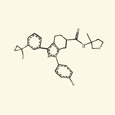 CC1(NC(=O)C2CCc3c(-c4cccc(C5(F)CC5)c4)nn(-c4ccc(F)cc4)c3C2)CCSC1